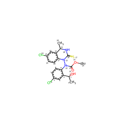 CC(O)c1cc(Cl)ccc1N(C(=O)OC(C)(C)C)N1C(=S)NC(C)c2cc(Cl)ccc21